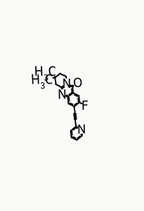 CC1(C)CCn2c(nc3cc(C#Cc4ccccn4)c(F)cc3c2=O)C1